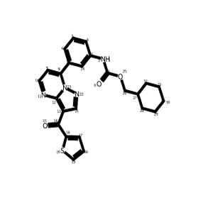 O=C(Nc1cccc(-c2ccnc3c(C(=O)c4cccs4)cnn23)c1)OCC1CCCCC1